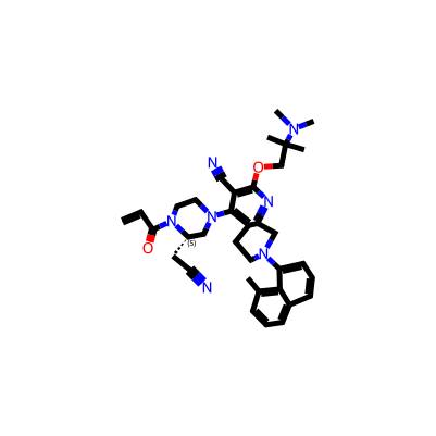 C=CC(=O)N1CCN(c2c(C#N)c(OCC(C)(C)N(C)C)nc3c2CCN(c2cccc4cccc(C)c24)C3)C[C@@H]1CC#N